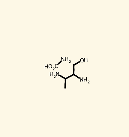 CC(N)C(N)CO.NC(=O)O